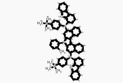 Cc1ccccc1-n1c2cc(N(c3ccc([Si](C)(C)C)cc3)c3cccc4c3oc3ccccc34)c3ccccc3c2c2c3ccccc3c(N(c3ccc([Si](C)(C)C)cc3)c3cccc4c3oc3ccccc34)cc21